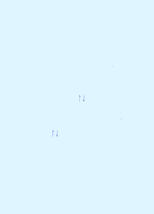 CC(C)(C)c1nc(N2CCCC2)cs1